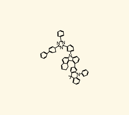 CC1(C)c2ccccc2N(c2ccccc2)c2cc(-c3cccc4c3c3c5c(ccc3n4-c3cccc(-c4nc(-c6ccccc6)nc(C6C=CC(c7ccccc7)=CC6)n4)c3)C=CCC5)ccc21